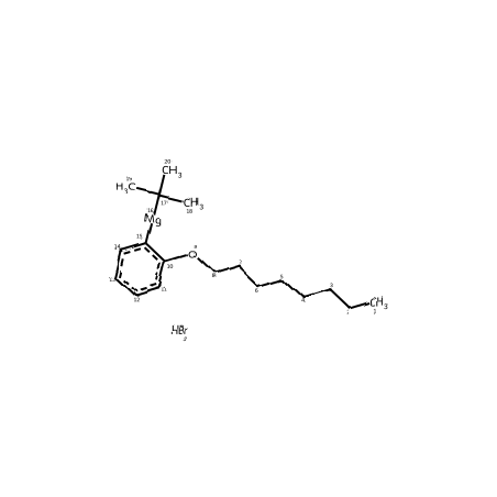 Br.CCCCCCCCOc1cccc[c]1[Mg][C](C)(C)C